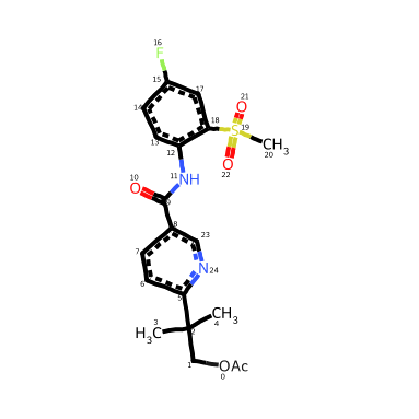 CC(=O)OCC(C)(C)c1ccc(C(=O)Nc2ccc(F)cc2S(C)(=O)=O)cn1